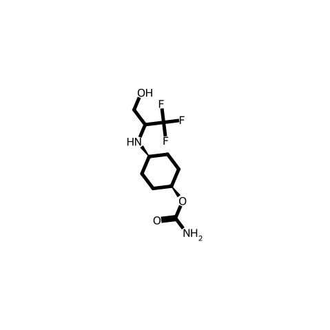 NC(=O)O[C@H]1CC[C@@H](NC(CO)C(F)(F)F)CC1